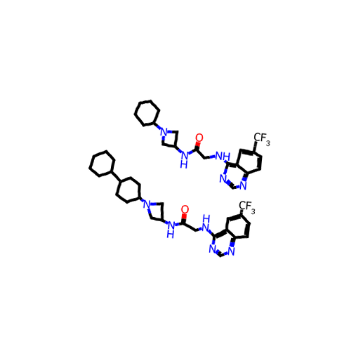 O=C(CNc1ncnc2ccc(C(F)(F)F)cc12)NC1CN(C2CCC(C3CCCCC3)CC2)C1.O=C(CNc1ncnc2ccc(C(F)(F)F)cc12)NC1CN(C2CCCCC2)C1